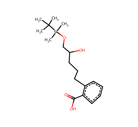 CC(C)(C)[Si](C)(C)OCC(O)CCCc1ccccc1C(=O)O